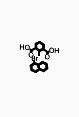 Brc1cccc2ccccc12.Cc1c(C(=O)O)cccc1C(=O)O